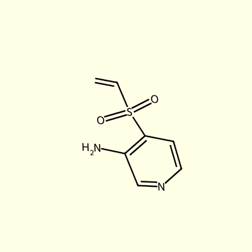 C=CS(=O)(=O)c1ccncc1N